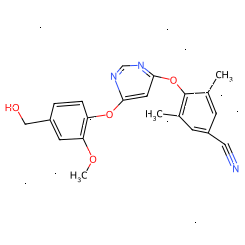 COc1cc(CO)ccc1Oc1cc(Oc2c(C)cc(C#N)cc2C)ncn1